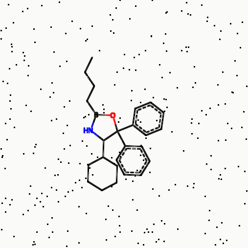 CCCCB1NC(C2CCCCC2)C(c2ccccc2)(c2ccccc2)O1